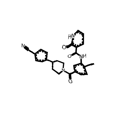 Cc1ccc(C(=O)N2CCC(c3ccc(C#N)cc3)CC2)cc1NC(=O)c1ccc[nH]c1=O